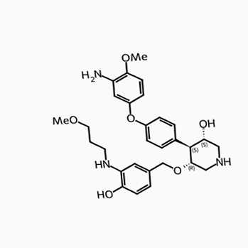 COCCCNc1cc(CO[C@H]2CNC[C@@H](O)[C@@H]2c2ccc(Oc3ccc(OC)c(N)c3)cc2)ccc1O